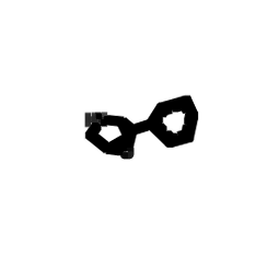 c1ccc(C2OC3CNC2C3)cc1